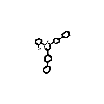 Oc1ccccc1N1N=C(c2ccc(-c3ccccc3)cc2)C=C(c2ccc(-c3ccccc3)cc2)N1